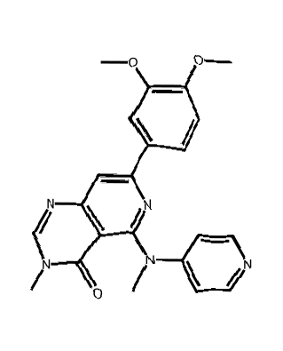 COc1ccc(-c2cc3ncn(C)c(=O)c3c(N(C)c3ccncc3)n2)cc1OC